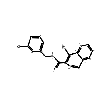 O=C(NCc1cccc(Cl)c1)c1ncc2cccnc2c1O